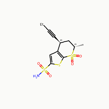 CCC#C[C@H]1C[C@H](C)S(=O)(=O)c2sc(S(N)(=O)=O)cc21